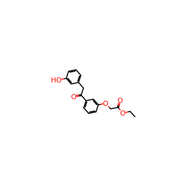 CCOC(=O)COc1cccc(C(=O)Cc2cccc(O)c2)c1